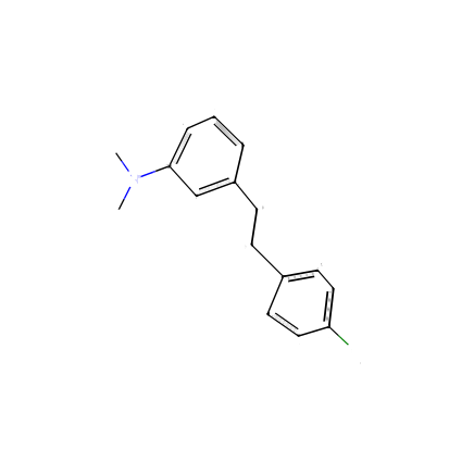 CN(C)c1cc[c]c(CCc2ccc(Cl)cc2)c1